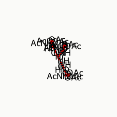 CC(=O)NC1[C@H](OCCC(=O)NCCCC(=O)NCCCNCCCN(CCCNC(=O)CCCNC(=O)CCO[C@@H]2OC(COC(C)=O)[C@H](OC(C)=O)[C@H](OC(C)=O)C2NC(C)=O)C(=O)CCCNC(=O)CCO[C@@H]2OC(COC(C)=O)[C@H](OC(C)=O)[C@H](OC(C)=O)C2NC(C)=O)OC(COC(C)=O)[C@H](OC(C)=O)[C@@H]1OC(C)=O